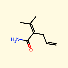 C=CCC(C(N)=O)=C(C)C